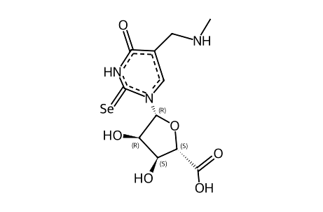 CNCc1cn([C@@H]2O[C@H](C(=O)O)[C@@H](O)[C@H]2O)c(=[Se])[nH]c1=O